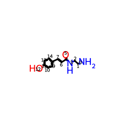 NCCNC(=O)C=Cc1ccc(O)cc1